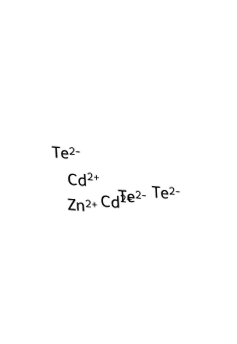 [Cd+2].[Cd+2].[Te-2].[Te-2].[Te-2].[Zn+2]